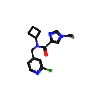 Cn1cnc(C(=O)N(Cc2ccnc(Br)c2)C2CCC2)c1